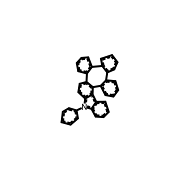 c1ccc(-n2c3ccccc3c3c4c(ccc32)-c2ccccc2-c2ccccc2-c2ccccc2-4)cc1